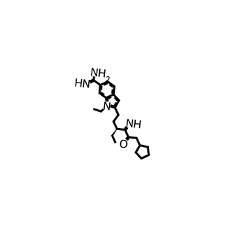 CC[C@@H](CCc1cc2ccc(C(=N)N)cc2n1CC)C(=N)C(=O)CC1CCCC1